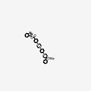 COC1(c2ccccc2)CCN(c2ccc(N3CCN(c4ccc(C(=O)On5nnc6ccccc65)cc4)CC3)cc2)CC1